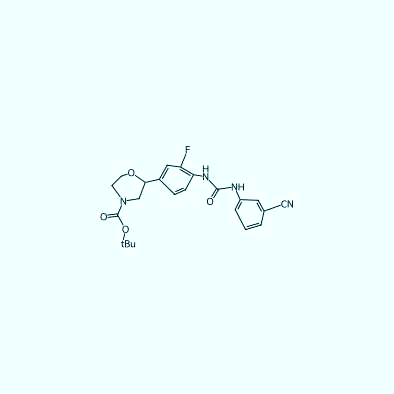 CC(C)(C)OC(=O)N1CCOC(c2ccc(NC(=O)Nc3cccc(C#N)c3)c(F)c2)C1